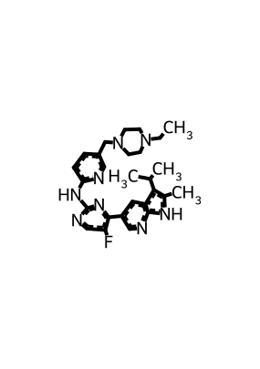 CCN1CCN(Cc2ccc(Nc3ncc(F)c(-c4cnc5[nH]c(C)c(C(C)C)c5c4)n3)nc2)CC1